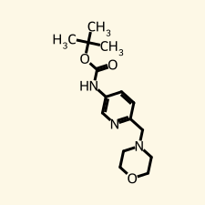 CC(C)(C)OC(=O)Nc1ccc(CN2CCOCC2)nc1